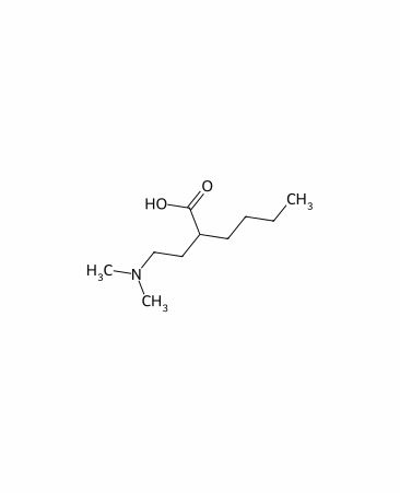 CCCCC(CCN(C)C)C(=O)O